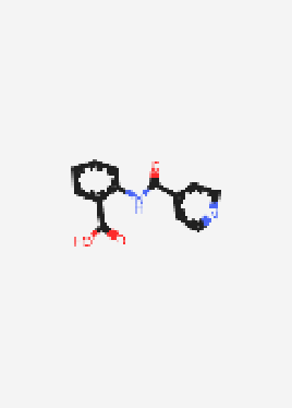 O=C(Nc1ccccc1C(=O)O)c1ccncc1